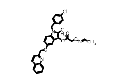 CC=NOCC(=O)Oc1c(C)n(Cc2ccc(Cl)cc2)c2ccc(OCc3ccc4ccccc4n3)cc12